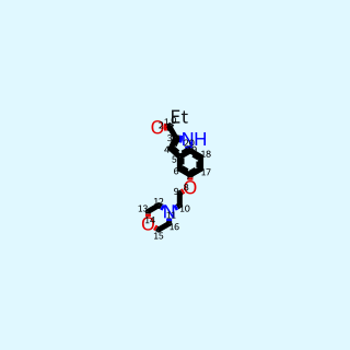 CCC(=O)c1cc2cc(OCCN3CCOCC3)ccc2[nH]1